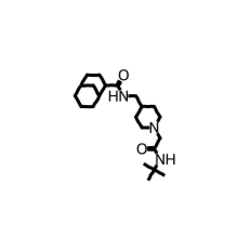 CC(C)(C)NC(=O)CN1CCC(CNC(=O)C2CCC3CCCC2C3)CC1